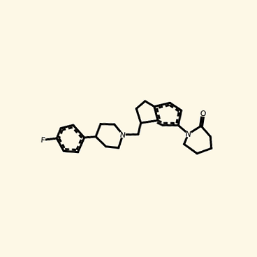 O=C1CCCCN1c1ccc2c(c1)C(CN1CCC(c3ccc(F)cc3)CC1)CC2